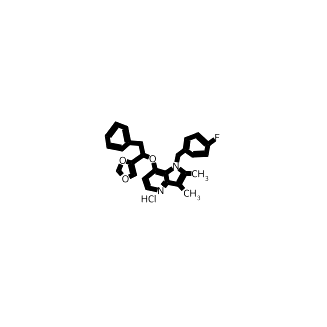 Cc1c(C)n(Cc2ccc(F)cc2)c2c(OC(Cc3ccccc3)C3=COCO3)ccnc12.Cl